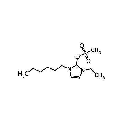 CCCCCCN1C=CN(CC)C1OS(C)(=O)=O